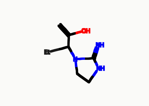 C=C(O)C(CC)N1CCNC1=N